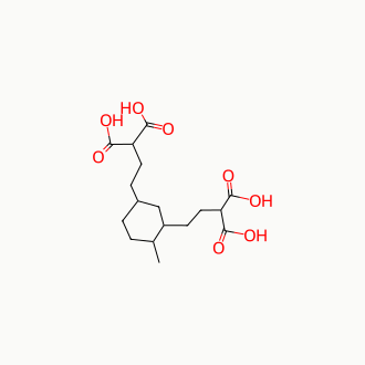 CC1CCC(CCC(C(=O)O)C(=O)O)CC1CCC(C(=O)O)C(=O)O